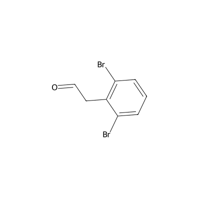 O=CCc1c(Br)cccc1Br